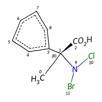 C[C@](C(=O)O)(c1ccccc1)N(Cl)Br